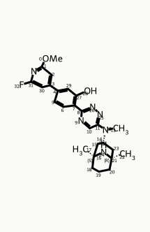 COc1cc(-c2ccc(-c3ncc(N(C)[C@H]4C[C@]5(C)CCC[C@](C)(C4)N5)nn3)c(O)c2)cc(F)n1